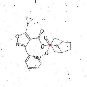 CC(C)(C)OC(=O)N1C2CCC1CC(OC(=O)c1c(-c3ccccc3)noc1C1CC1)C2